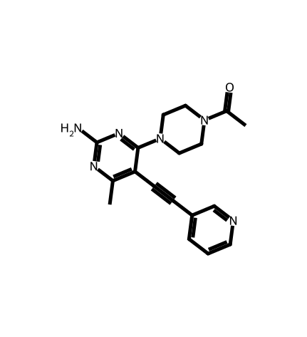 CC(=O)N1CCN(c2nc(N)nc(C)c2C#Cc2cccnc2)CC1